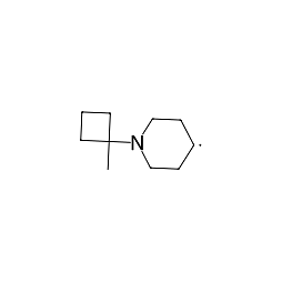 CC1(N2CC[CH]CC2)CCC1